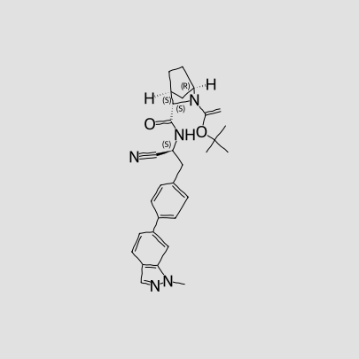 C=C(OC(C)(C)C)N1[C@@H]2CC[C@@H](C2)[C@H]1C(=O)N[C@H](C#N)Cc1ccc(-c2ccc3cnn(C)c3c2)cc1